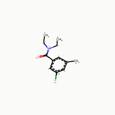 CCN(CC)C(=O)c1cc(C)cc(F)c1